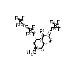 CN1CCN(C(F)C(F)F)CC1.F[B-](F)(F)F.F[B-](F)(F)F.F[B-](F)(F)F